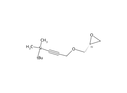 CC(C)(C)[Si](C)(C)C#CCOC[C@H]1CO1